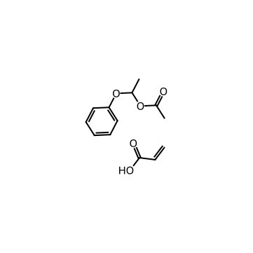 C=CC(=O)O.CC(=O)OC(C)Oc1ccccc1